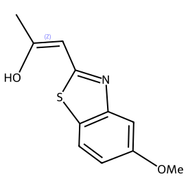 COc1ccc2sc(/C=C(/C)O)nc2c1